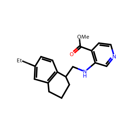 CCc1ccc2c(c1)CCCC2CNc1cnccc1C(=O)OC